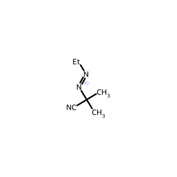 CC/N=N/C(C)(C)C#N